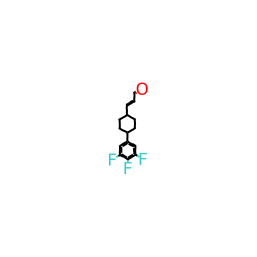 O=C/C=C/C1CCC(c2cc(F)c(F)c(F)c2)CC1